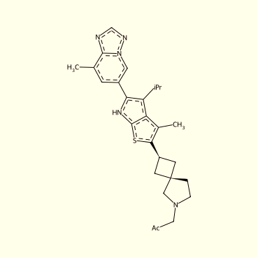 CC(=O)CN1CC[C@]2(C1)C[C@H](c1sc3[nH]c(-c4cc(C)c5ncnn5c4)c(C(C)C)c3c1C)C2